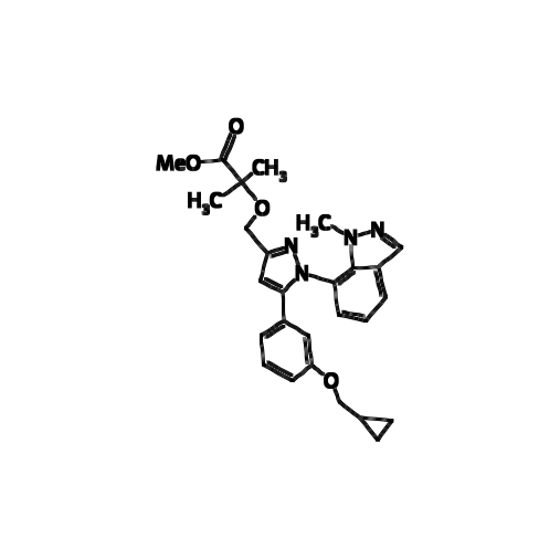 COC(=O)C(C)(C)OCc1cc(-c2cccc(OCC3CC3)c2)n(-c2cccc3cnn(C)c23)n1